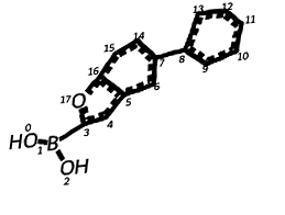 OB(O)c1cc2cc(-c3ccccc3)ccc2o1